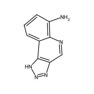 Nc1cccc2c1ncc1nn[nH]c12